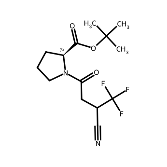 CC(C)(C)OC(=O)[C@@H]1CCCN1C(=O)CC(C#N)C(F)(F)F